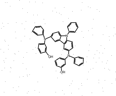 Oc1cccc(N(c2ccccc2)c2ccc3c(c2)c2cc(N(c4ccccc4)c4cccc(O)c4)ccc2n3-c2ccccc2)c1